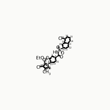 CCOC(=O)c1cc(C(=O)NS(=O)(=O)c2ccc3cccc(Cl)c3c2)ccc1-n1nc(C)c(Cl)c1C(F)(F)F